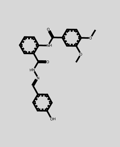 COc1ccc(C(=O)Nc2ccccc2C(=O)N/N=C/c2ccc(O)cc2)cc1OC